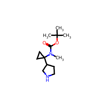 CN(C(=O)OC(C)(C)C)C1(C2CCNC2)CC1